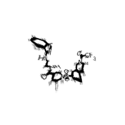 O=C(NCCNc1nsc2ccccc12)C1CCCN(S(=O)(=O)c2ccc3c(c2)CN(C(=O)C(F)(F)F)CC3)C1